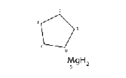 C1CCCC1.[MgH2]